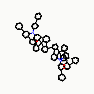 c1ccc(-c2ccc(N(c3ccc4c(c3)-c3ccccc3C43c4ccccc4-c4c(-c5cccc6c5-c5cccc(N(c7ccc(-c8ccccc8)cc7)c7ccccc7-c7ccccc7-c7ccccc7)c5C65c6ccccc6-c6ccccc65)cccc43)c3cc(-c4ccccc4)ccc3-c3ccccc3)cc2)cc1